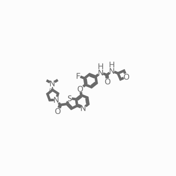 CN(C)[C@H]1CCN(C(=O)c2cc3nccc(Oc4ccc(NC(=O)NC5COC5)cc4F)c3s2)C1